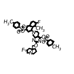 Cc1ccc(S(=O)(=O)Oc2cc(N3CCc4c(nc(OC[C@@]56CCCN5C[C@H](F)C6)nc4OS(=O)(=O)c4ccc(C)cc4)C3)c3c(C)c(F)ccc3c2)cc1